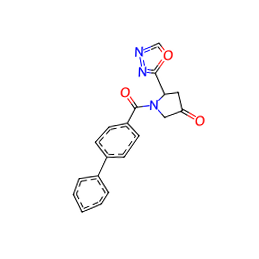 O=C1CC(c2nnco2)N(C(=O)c2ccc(-c3ccccc3)cc2)C1